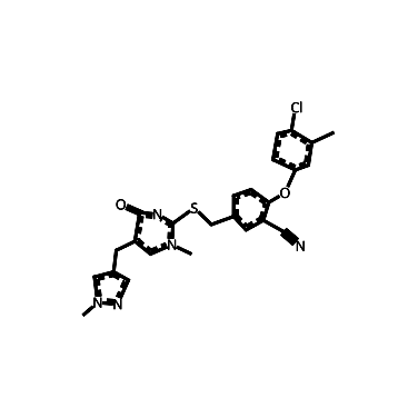 Cc1cc(Oc2ccc(CSc3nc(=O)c(Cc4cnn(C)c4)cn3C)cc2C#N)ccc1Cl